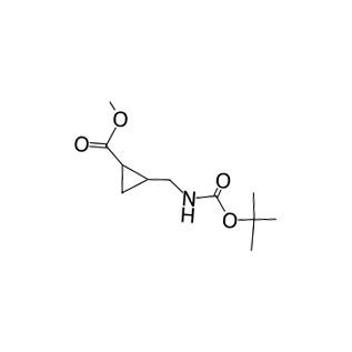 COC(=O)C1CC1CNC(=O)OC(C)(C)C